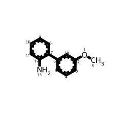 COc1cccc(-c2cc[c]cc2N)c1